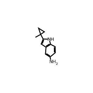 CC1(c2cc3cc(N)ccc3[nH]2)CC1